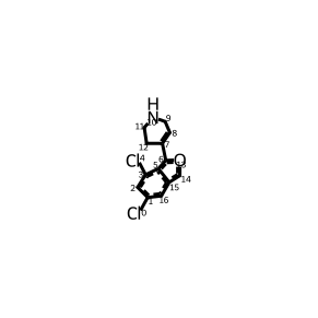 Clc1cc(Cl)c2c(C3=CCNCC3)occ2c1